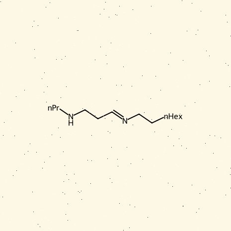 CCCCCCCCN=CCCNCCC